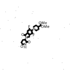 COC(OC)C1CCN(c2c(F)cc3c(c2F)CN(C2CCC(=O)NC2=O)C3=O)CC1